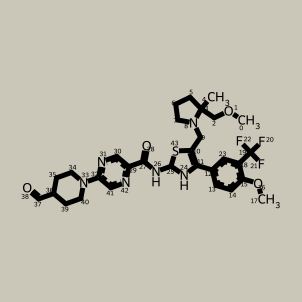 COCC1(C)CCCN1CC1=C(c2ccc(OC)c(C(F)(F)F)c2)NC(NC(=O)c2cnc(N3CCC(C=O)CC3)cn2)S1